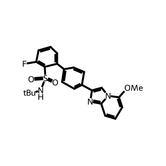 COc1cccc2nc(-c3ccc(-c4cccc(F)c4S(=O)(=O)NC(C)(C)C)cc3)cn12